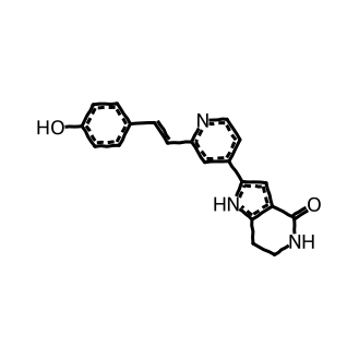 O=C1NCCc2[nH]c(-c3ccnc(/C=C/c4ccc(O)cc4)c3)cc21